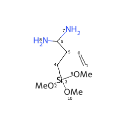 C=C.CO[Si](CCC(N)N)(OC)OC